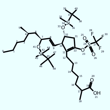 CCCC[C@@H](C)C[C@@H](/C=C/[C@@H]1C(CCCCCC(C)C(=O)O)=C(OS(=O)(=O)C(F)(F)F)C[C@H]1O[Si](C)(C)C(C)(C)C)O[Si](C)(C)C(C)(C)C